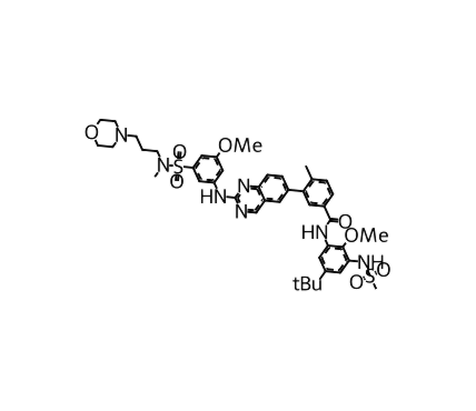 COc1cc(Nc2ncc3cc(-c4cc(C(=O)Nc5cc(C(C)(C)C)cc(NS(C)(=O)=O)c5OC)ccc4C)ccc3n2)cc(S(=O)(=O)N(C)CCCN2CCOCC2)c1